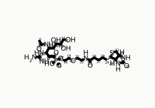 CC(=O)N[C@H]1[C@H]([C@H](O)[C@H](O)CO)OC(P(=O)(O)OCCOCCNC(=O)CCCC[C@@H]2SC[C@@H]3NC(=O)N[C@@H]32)=C[C@@H]1NC(=N)N